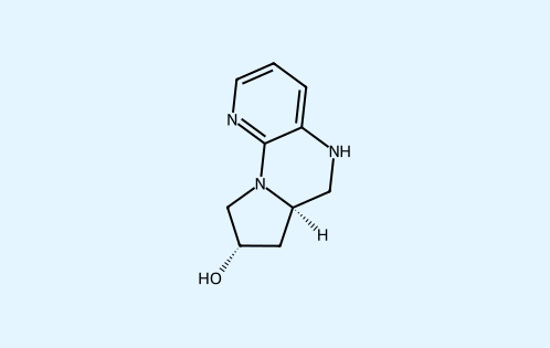 O[C@H]1C[C@@H]2CNc3cccnc3N2C1